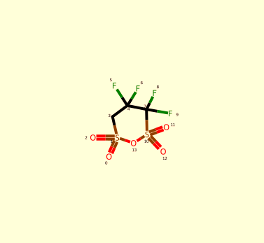 O=S1(=O)CC(F)(F)C(F)(F)S(=O)(=O)O1